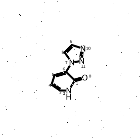 O=c1[nH]cccc1-n1ccnn1